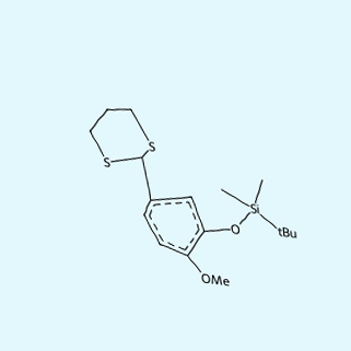 COc1ccc(C2SCCCS2)cc1O[Si](C)(C)C(C)(C)C